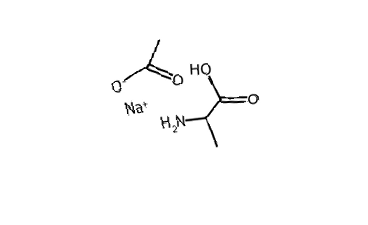 CC(=O)[O-].CC(N)C(=O)O.[Na+]